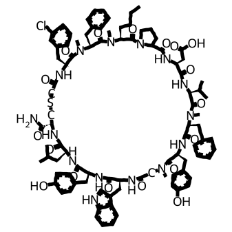 CCCC[C@H]1C(=O)N2CCCC2C(=O)N[C@@H](CC(=O)O)C(=O)N[C@@H](C(C)C)C(=O)N(C)[C@@H](Cc2ccccc2)C(=O)N[C@@H](Cc2ccc(O)cc2)C(=O)N(C)CC(=O)N[C@@H](Cc2c[nH]c3ccccc23)C(=O)N[C@@H](Cc2ccc(O)cc2)C(=O)N[C@@H](CC(C)C)C(=O)N[C@H](C(N)=O)CSCC(=O)N[C@@H](Cc2cccc(Cl)c2)C(=O)N(C)[C@@H](Cc2ccccc2)C(=O)N1C